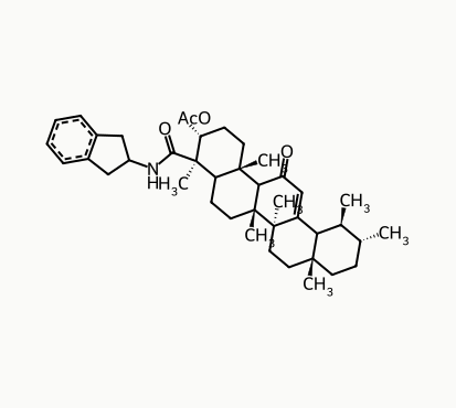 CC(=O)O[C@@H]1CC[C@@]2(C)C(CC[C@]3(C)C2C(=O)C=C2C4[C@@H](C)[C@H](C)CC[C@]4(C)CC[C@]23C)[C@@]1(C)C(=O)NC1Cc2ccccc2C1